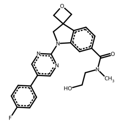 CN(CCO)C(=O)c1ccc2c(c1)N(c1ncc(-c3ccc(F)cc3)cn1)CC21COC1